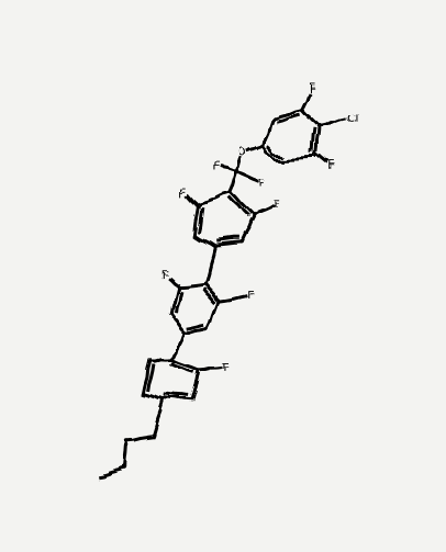 CCCCc1ccc(-c2cc(F)c(-c3cc(F)c(C(F)(F)Oc4cc(F)c(Cl)c(F)c4)c(F)c3)c(F)c2)c(F)c1